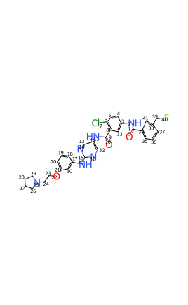 O=C(Nc1ccc(Cl)c(C(=O)Nc2cnc(Nc3cccc(OCCN4CCCC4)c3)nc2)c1)c1cccc(CF)c1